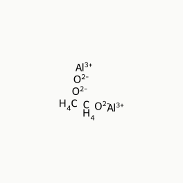 C.C.[Al+3].[Al+3].[O-2].[O-2].[O-2]